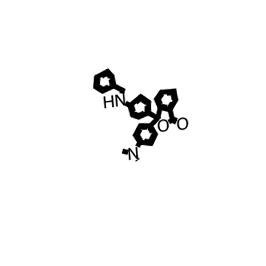 CN(C)c1ccc(C2(c3ccc(NCc4ccccc4)cc3)OC(=O)c3ccccc32)cc1